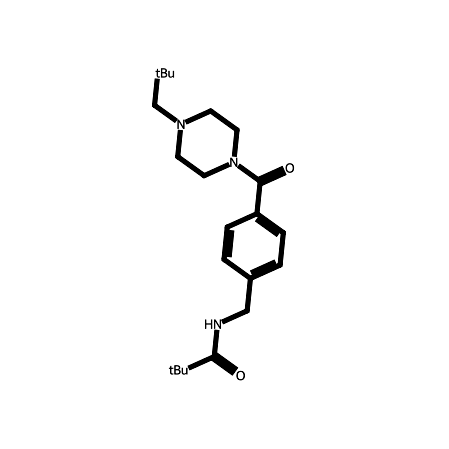 CC(C)(C)CN1CCN(C(=O)c2ccc(CNC(=O)C(C)(C)C)cc2)CC1